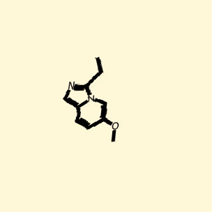 CCc1ncc2ccc(OC)cn12